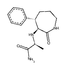 C[C@H](N[C@@H]1C(=O)NCCC[C@H]1c1ccccc1)C(N)=O